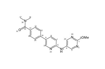 COc1ncc(Nc2ccc(-c3ccc(C(=O)N(C)C)cc3)cn2)cn1